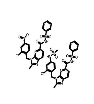 Cc1nc2ccc(C(=O)NS(=O)(=O)c3ccccc3)nc2n1Cc1ccc(NS(C)(=O)=O)cc1Cl.Cc1nc2ccc(C(=O)NS(=O)(=O)c3ccccc3)nc2n1Cc1ccc([N+](=O)[O-])cc1Cl